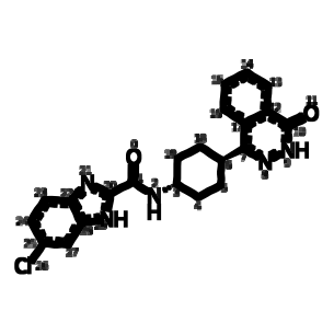 O=C(N[C@H]1CC[C@H](c2n[nH]c(=O)c3ccccc32)CC1)c1nc2ccc(Cl)cc2[nH]1